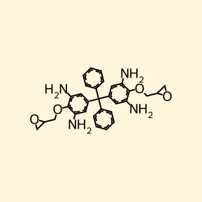 Nc1cc(C(c2ccccc2)(c2ccccc2)c2cc(N)c(OCC3CO3)c(N)c2)cc(N)c1OCC1CO1